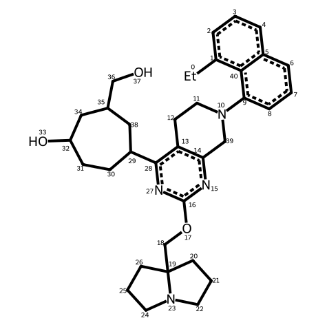 CCc1cccc2cccc(N3CCc4c(nc(OCC56CCCN5CCC6)nc4C4CCC(O)CC(CO)C4)C3)c12